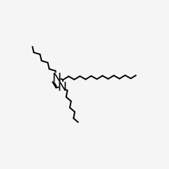 CCCCCCCCCCCCCC1N(CCCCCCC)C=CN1CCCCCCC